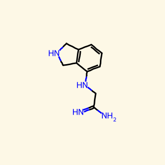 N=C(N)CNc1cccc2c1CNC2